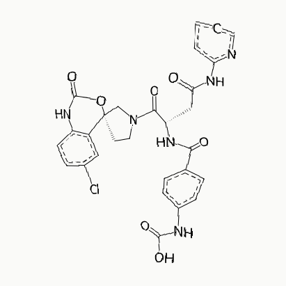 O=C(O)Nc1ccc(C(=O)N[C@@H](CC(=O)Nc2ccccn2)C(=O)N2CC[C@@]3(C2)OC(=O)Nc2ccc(Cl)cc23)cc1